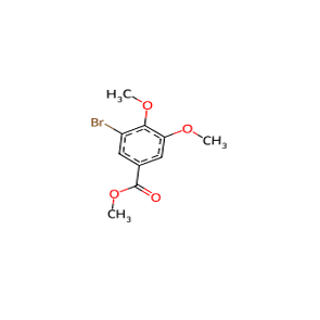 COC(=O)c1cc(Br)c(OC)c(OC)c1